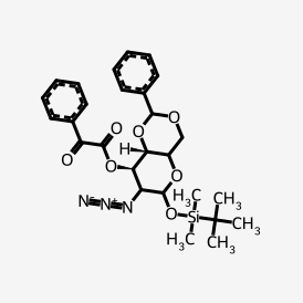 CC(C)(C)[Si](C)(C)OC1OC2COC(c3ccccc3)O[C@H]2[C@H](OC(=O)C(=O)c2ccccc2)C1N=[N+]=[N-]